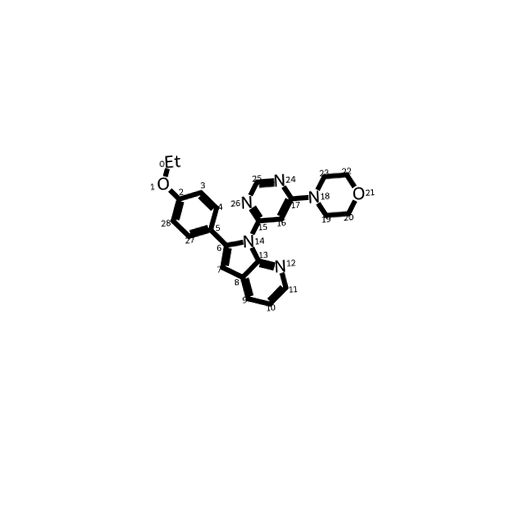 CCOc1ccc(-c2cc3cccnc3n2-c2cc(N3CCOCC3)ncn2)cc1